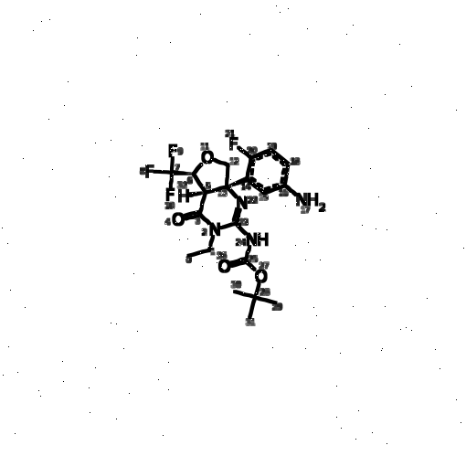 CCN1C(=O)[C@@H]2[C@@H](C(F)(F)F)OC[C@]2(c2cc(N)ccc2F)N=C1NC(=O)OC(C)(C)C